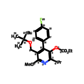 CCOC(=O)Oc1c(C(C)C)nc(OC)c(CO[Si](C)(C)C(C)(C)C)c1-c1ccc(F)cc1